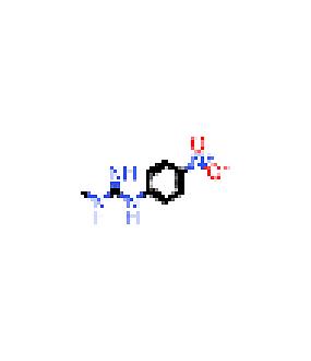 CNC(=N)Nc1ccc([N+](=O)[O-])cc1